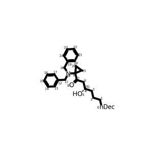 CCCCCCCCCCCCC[C@H](O)CC(=O)C1(N(Cc2ccccc2)Cc2ccccc2)CC1